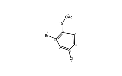 CC(=O)OSc1ccc(Cl)cc1Br